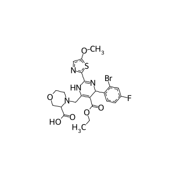 CCOC(=O)C1=C(CN2CCOCC2C(=O)O)NC(c2ncc(OC)s2)=NC1c1ccc(F)cc1Br